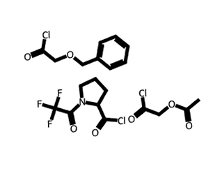 CC(=O)OCC(=O)Cl.O=C(Cl)C1CCCN1C(=O)C(F)(F)F.O=C(Cl)COCc1ccccc1